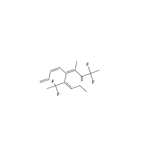 C=C\C=C/C(=C(\C)C(=C)C(C)(F)F)C(=C\CC)/C(C)(F)F